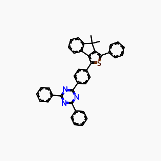 CC1(C)c2ccccc2-c2c(-c3ccc(-c4nc(-c5ccccc5)nc(-c5ccccc5)n4)cc3)sc(-c3ccccc3)c21